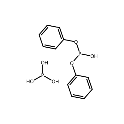 OP(O)O.OP(Oc1ccccc1)Oc1ccccc1